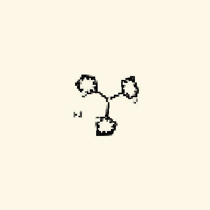 [Pd].c1coc(P(c2ccco2)c2ccco2)c1